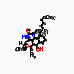 CCCCCCCCCCCCCCCc1cccc(CO)c1C1C(CC(C)OC=O)=C(C)NC(=O)N1C(=O)OCC